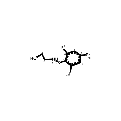 OCCNSc1c(F)cc(Br)cc1F